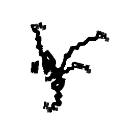 CCCCCCCCCC#CC1=C(c2ccc(CCCCCCCC)cc2)[N+](=[N-])C(c2ccc(CCCC)cc2)=C1CCCC.[Ni]